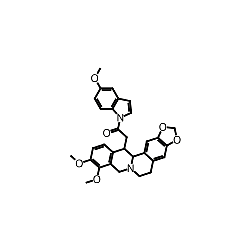 COc1ccc2c(ccn2C(=O)CC2c3ccc(OC)c(OC)c3CN3CCc4cc5c(cc4C23)OCO5)c1